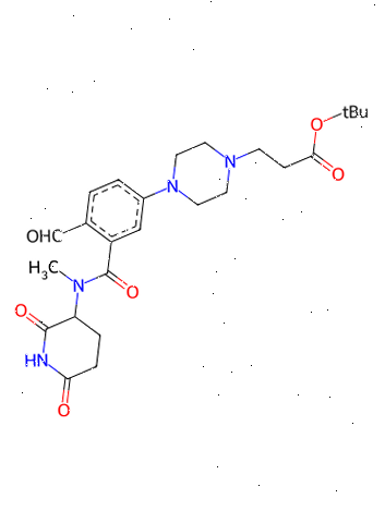 CN(C(=O)c1cc(N2CCN(CCC(=O)OC(C)(C)C)CC2)ccc1C=O)C1CCC(=O)NC1=O